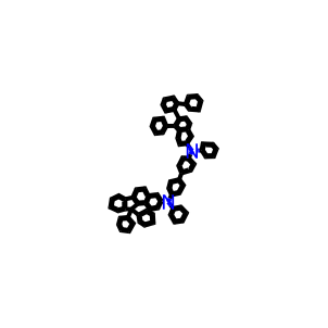 c1ccc(-c2ccccc2-c2ccc3cc(N(c4ccccc4)c4ccc(-c5ccc(N(c6ccccc6)c6ccc7c8c(ccc7c6)-c6ccccc6C8(c6ccccc6)c6ccccc6)cc5)cc4)ccc3c2-c2ccccc2)cc1